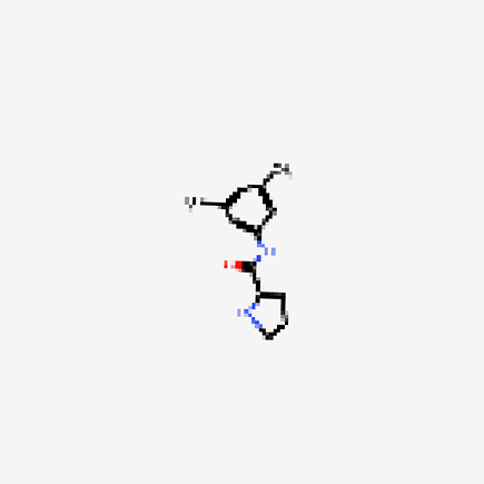 Cc1cc(C)cc(NC(=O)C2CCCN2)c1